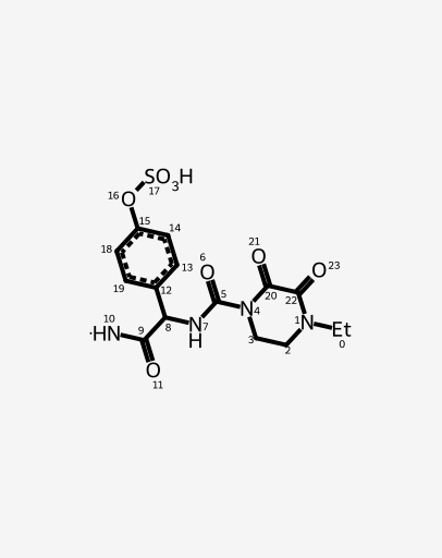 CCN1CCN(C(=O)NC(C([NH])=O)c2ccc(OS(=O)(=O)O)cc2)C(=O)C1=O